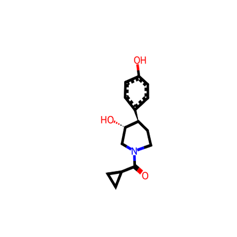 O=C(C1CC1)N1CC[C@H](c2ccc(O)cc2)[C@@H](O)C1